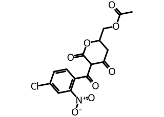 CC(=O)OCC1CC(=O)C(C(=O)c2ccc(Cl)cc2[N+](=O)[O-])C(=O)O1